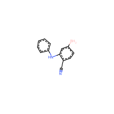 Bc1ccc(C#N)c(Nc2ccccc2)c1